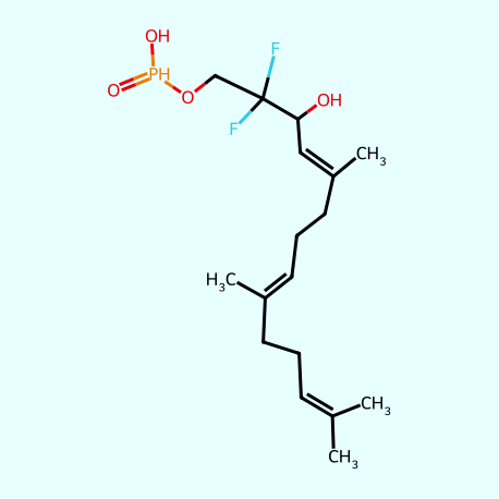 CC(C)=CCCC(C)=CCCC(C)=CC(O)C(F)(F)CO[PH](=O)O